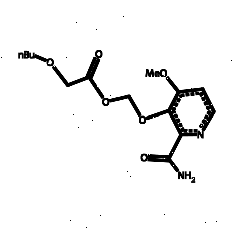 CCCCOCC(=O)OCOc1c(OC)ccnc1C(N)=O